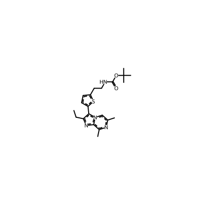 CCc1nc2c(C)nc(C)cn2c1-c1ccc(CCNC(=O)OC(C)(C)C)s1